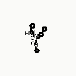 C[C@H](C[C@@H](Cc1ccc(-c2ccccc2)cc1)NC(=O)c1nn(Cc2ccccc2)[nH]1)C(=O)OCc1ccccc1